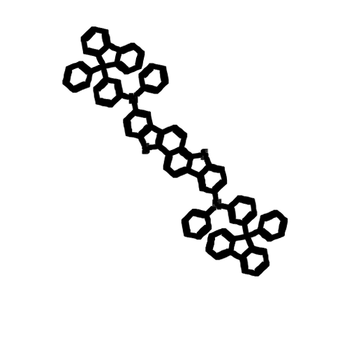 c1ccc(N(c2cccc(C3(c4ccccc4)c4ccccc4-c4ccccc43)c2)c2ccc3sc4c(ccc5c4ccc4c6cc(N(c7ccccc7)c7cccc(C8(c9ccccc9)c9ccccc9-c9ccccc98)c7)ccc6sc45)c3c2)cc1